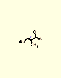 CCC(C)/C=C(\C)C(O)CC